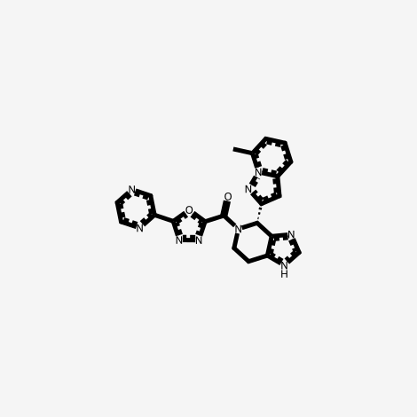 Cc1cccc2cc([C@@H]3c4nc[nH]c4CCN3C(=O)c3nnc(-c4cnccn4)o3)nn12